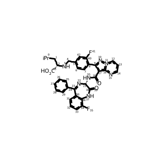 CC(C)C[C@H](NCc1ccc(-c2nn3cccnc3c2C(=O)N[C@H]2N=C(c3ccccc3)c3cccc(F)c3NC2=O)c(F)c1)C(=O)O